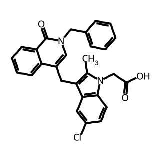 Cc1c(Cc2cn(Cc3ccccc3)c(=O)c3ccccc23)c2cc(Cl)ccc2n1CC(=O)O